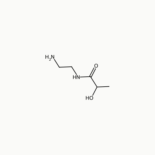 CC(O)C(=O)NCCN